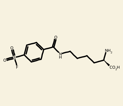 N[C@H](CCCCNC(=O)c1ccc(S(=O)(=O)F)cc1)C(=O)O